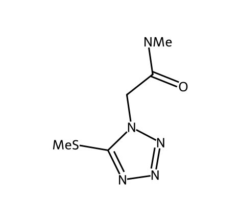 [CH2]Sc1nnnn1CC(=O)NC